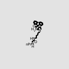 CCCNCC(=O)NCCCCCN1CC[C@@H](C(C(N)=O)(c2ccccc2)c2ccccc2)C1